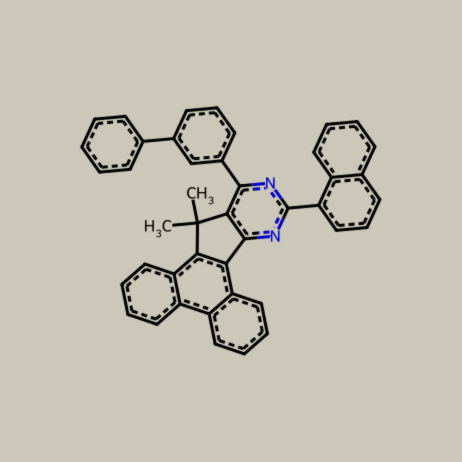 CC1(C)c2c(-c3cccc(-c4ccccc4)c3)nc(-c3cccc4ccccc34)nc2-c2c1c1ccccc1c1ccccc21